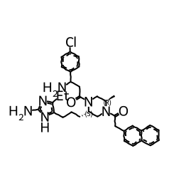 CCc1nc(N)[nH]c1CCC[C@H]1CN(C(=O)Cc2ccc3ccccc3c2)[C@H](C)CN1C(=O)CC(N)c1ccc(Cl)cc1